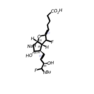 CCCCC(F)[C@H](O)/C=C/[C@@H]1[C@H]2C(F)/C(=C/CCCC(=O)O)O[C@H]2C[C@H]1O.[NaH]